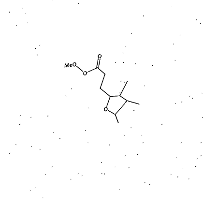 COOC(=O)CCC1OC(C)C(C)C1C